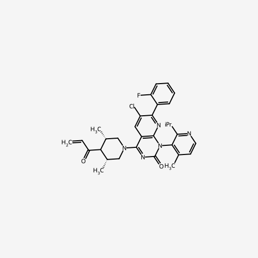 C=CC(=O)C1[C@H](C)CN(c2nc(=O)n(-c3c(C)ccnc3C(C)C)c3nc(-c4ccccc4F)c(Cl)cc23)C[C@@H]1C